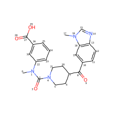 CN(C(=O)N1CCC(C(=O)c2ccc3ncn(C)c3c2)CC1)c1cccc(C(=O)O)c1